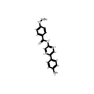 CCCCOc1ccc(C(=O)Oc2cnc(-c3ccc(CCC)cc3)cn2)cc1